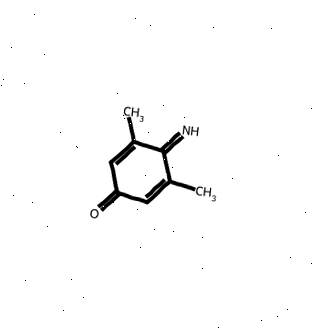 CC1=CC(=O)C=C(C)C1=N